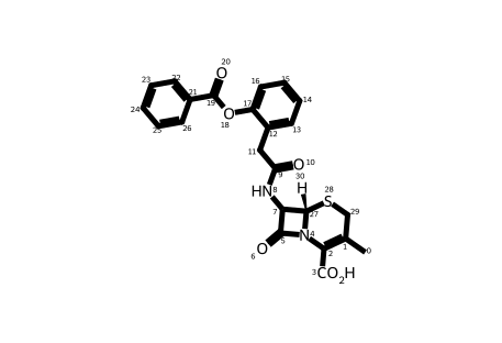 CC1=C(C(=O)O)N2C(=O)C(NC(=O)Cc3ccccc3OC(=O)c3ccccc3)[C@@H]2SC1